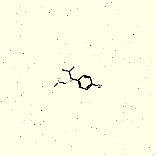 CNC[C@@H](c1ccc(Br)cc1)C(C)C